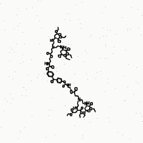 CCOC(=O)CC(NCCN(CCNC(CC(=O)OCC)C(=O)OCC)CCC(=O)OCCNC(=O)Oc1ccc(C(=O)c2ccc(OC(=O)NCCOC(=O)CCN(CCNC(CC(=O)OCC)C(=O)OCC)CCNC(CC(=O)OCC)C(=O)OCC)cc2)cc1)C(=O)OCC